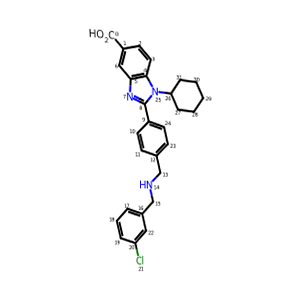 O=C(O)c1ccc2c(c1)nc(-c1ccc(CNCc3cccc(Cl)c3)cc1)n2C1CCCCC1